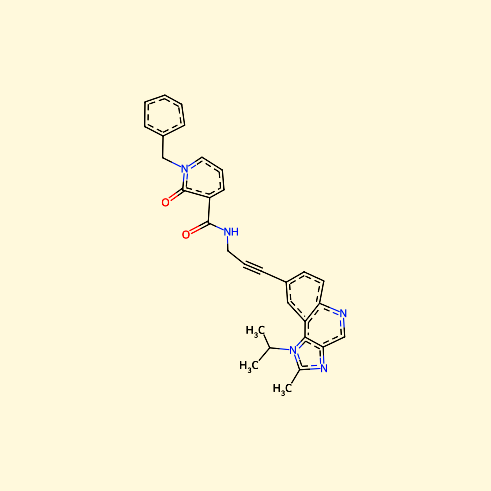 Cc1nc2cnc3ccc(C#CCNC(=O)c4cccn(Cc5ccccc5)c4=O)cc3c2n1C(C)C